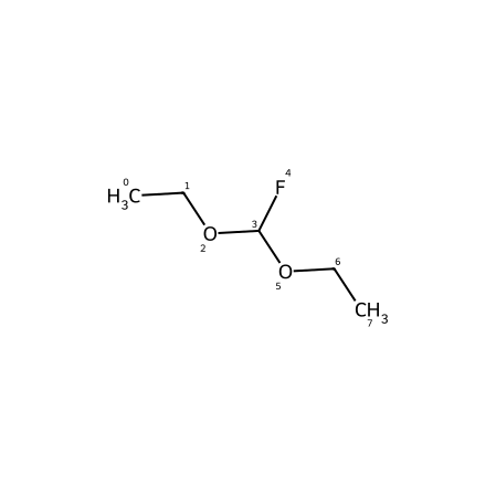 CCOC(F)OCC